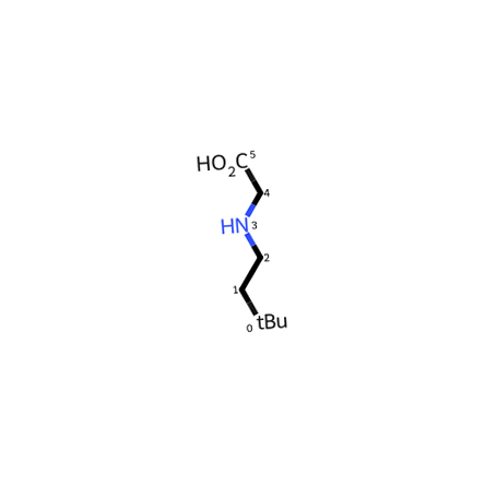 CC(C)(C)CCNCC(=O)O